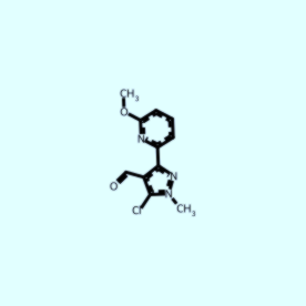 COc1cccc(-c2nn(C)c(Cl)c2C=O)n1